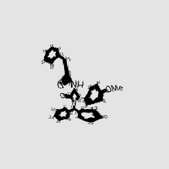 COc1ccc([C@H]2[C@@H](NC(=O)Cc3ccccc3)C(=O)N2C(c2ccccc2)c2ccccc2)cc1